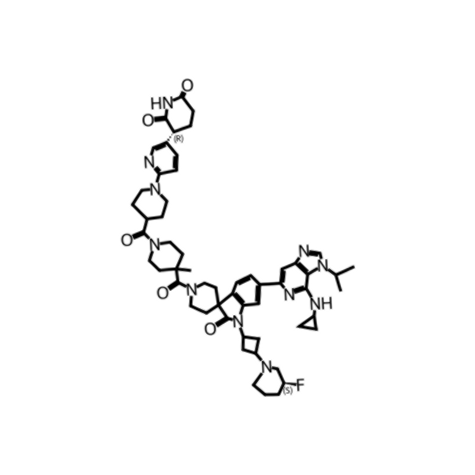 CC(C)n1cnc2cc(-c3ccc4c(c3)N(C3CC(N5CCC[C@H](F)C5)C3)C(=O)C43CCN(C(=O)C4(C)CCN(C(=O)C5CCN(c6ccc([C@H]7CCC(=O)NC7=O)cn6)CC5)CC4)CC3)nc(NC3CC3)c21